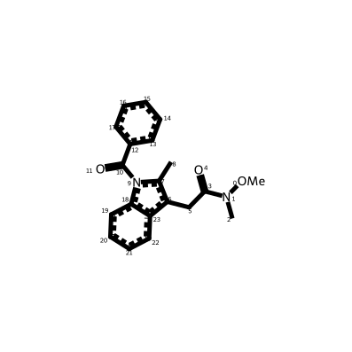 CON(C)C(=O)Cc1c(C)n(C(=O)c2ccccc2)c2ccccc12